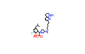 COc1c(F)cc(CC(C)C)cc1[C@H](C(=O)O)N1CC[C@@H](N(C)CCCCCc2ccc3c(n2)NCCC3)C1